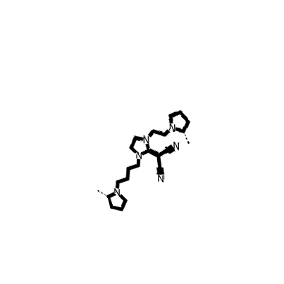 C[C@H]1CCCN1CCCCN1CCN(CCN2CCC[C@@H]2C)C1=C(C#N)C#N